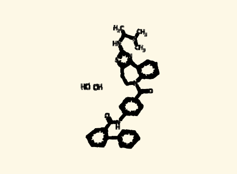 CC(Nc1nc2c(s1)CCN(C(=O)c1ccc(NC(=O)c3ccccc3-c3ccccc3)cc1)c1ccccc1-2)N(C)C.Cl.Cl